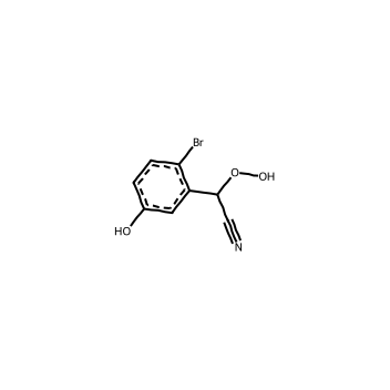 N#CC(OO)c1cc(O)ccc1Br